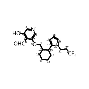 O=Cc1c(O)cncc1OCC1CCCCC1c1ccnn1CCC(F)(F)F